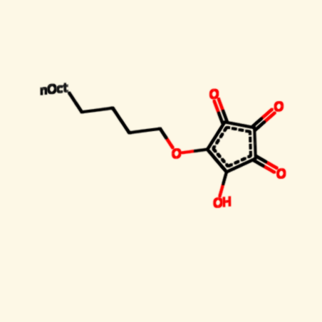 CCCCCCCCCCCCOc1c(O)c(=O)c(=O)c1=O